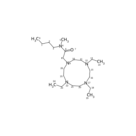 CCCCN(C)C(=O)CN1CCN(CC)CCN(CC)CCN(CC)CC1